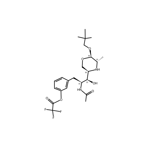 CC(=O)N[C@@H](Cc1cccc(OC(=O)C(F)(F)F)c1)[C@H](O)[C@H]1CO[C@@H](OCC(C)(C)C)[C@H](C)N1